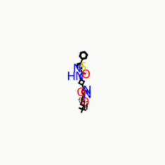 C[C@@H](O[Si](C)(C)C(C)(C)C)c1nnc(C2CC(NC(=O)c3ncc(-c4ccccc4)s3)C2)o1